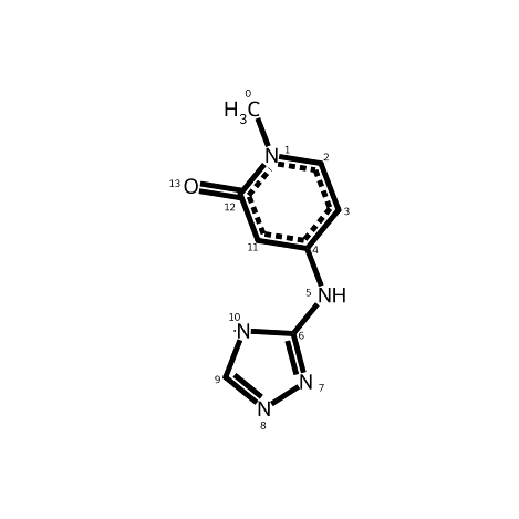 Cn1ccc(NC2=NN=C[N]2)cc1=O